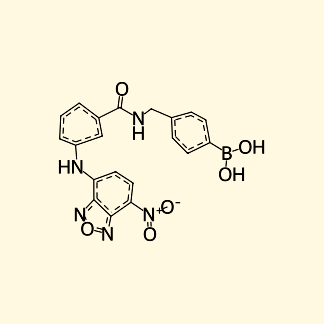 O=C(NCc1ccc(B(O)O)cc1)c1cccc(Nc2ccc([N+](=O)[O-])c3nonc23)c1